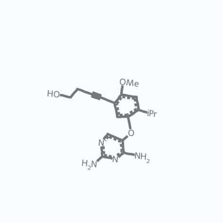 COc1cc(C(C)C)c(Oc2cnc(N)nc2N)cc1C#CCCO